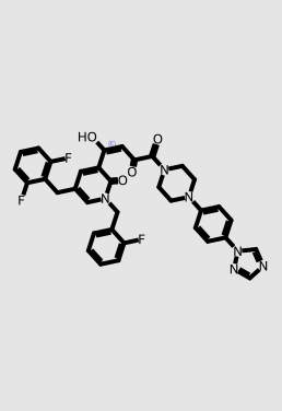 O=C(/C=C(/O)c1cc(Cc2c(F)cccc2F)cn(Cc2ccccc2F)c1=O)C(=O)N1CCN(c2ccc(-n3cncn3)cc2)CC1